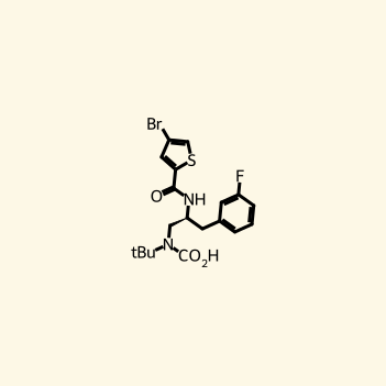 CC(C)(C)N(C[C@H](Cc1cccc(F)c1)NC(=O)c1cc(Br)cs1)C(=O)O